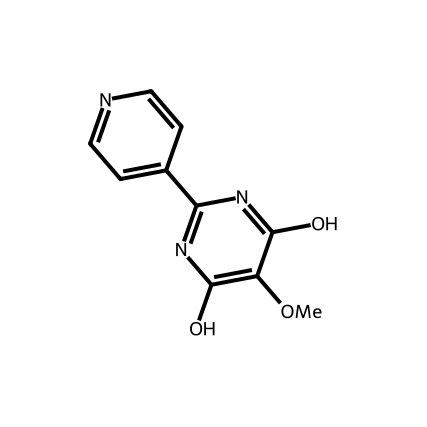 COc1c(O)nc(-c2ccncc2)nc1O